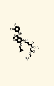 CCOC(=O)CN(C)C(=O)C=CCNc1cc2c(Nc3ccc(F)c(Cl)c3)ncnc2cc1OCC1CC1